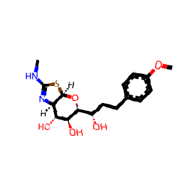 CNC1=N[C@@H]2[C@@H](O)[C@H](O)[C@@H]([C@@H](O)CCc3ccc(OC)cc3)O[C@@H]2S1